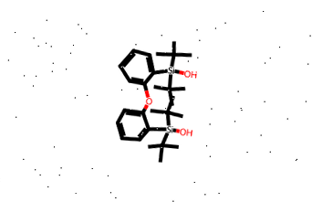 CC(C)(C)[Si](O)(c1ccccc1Oc1ccccc1[Si](O)(C(C)(C)C)C(C)(C)C)C(C)(C)C